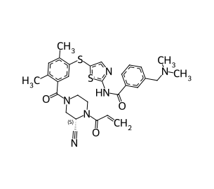 C=CC(=O)N1CCN(C(=O)c2cc(Sc3cnc(NC(=O)c4cccc(CN(C)C)c4)s3)c(C)cc2C)C[C@H]1C#N